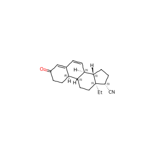 CC[C@]12CC[C@H]3[C@@H](C=CC4=CC(=O)CC[C@@H]43)[C@@H]1CC[C@@H]2C#N